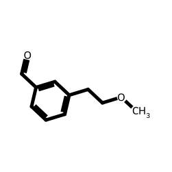 COCCc1cccc(C=O)c1